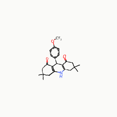 CC1(C)CC(=O)C2=C(C1)NC1=C(C(=O)CC(C)(C)C1)C2c1ccc(OC(F)(F)F)cc1